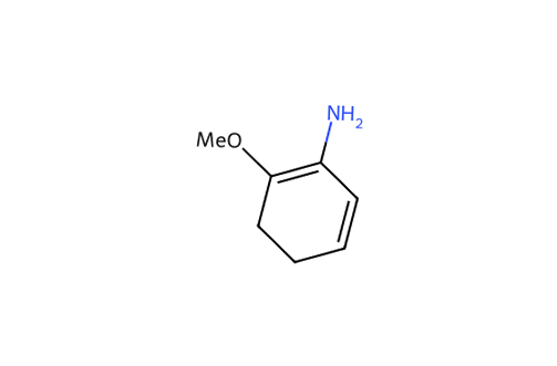 COC1=C(N)C=CCC1